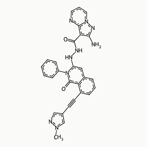 Cn1cc(C#Cc2cccc3cc(NNC(=O)c4c(N)nn5cccnc45)n(-c4ccccc4)c(=O)c23)cn1